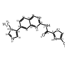 Cc1csc(C(=O)Nc2ncc3ccc(-c4cncn4C)cc3n2)n1